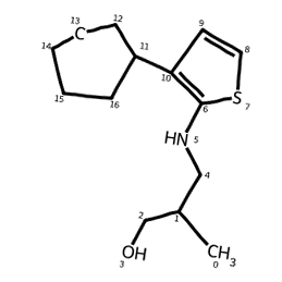 CC(CO)CNc1sccc1C1CCCCC1